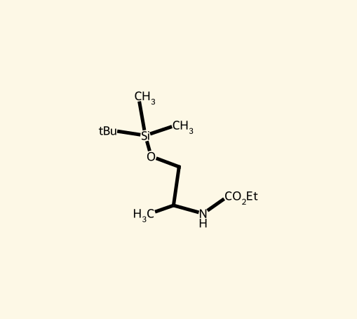 CCOC(=O)NC(C)CO[Si](C)(C)C(C)(C)C